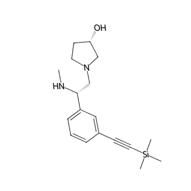 CN[C@H](CN1CC[C@H](O)C1)c1cccc(C#C[Si](C)(C)C)c1